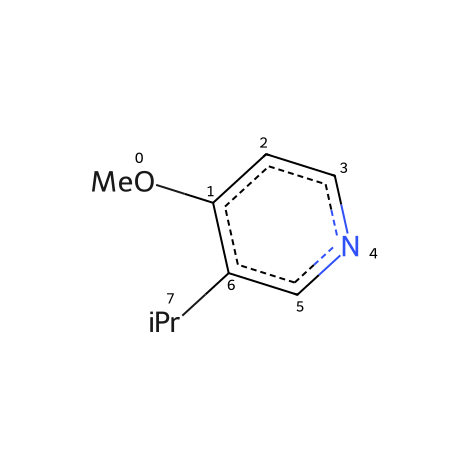 COc1ccncc1C(C)C